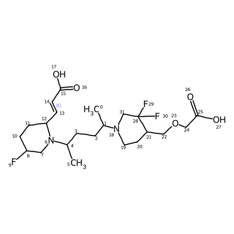 CC(CCC(C)N1CC(F)CCC1/C=C/C(=O)O)N1CCC(COCC(=O)O)C(F)(F)C1